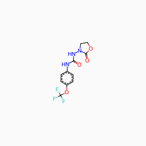 O=C(Nc1ccc(OC(F)(F)F)cc1)NN1CCOC1=O